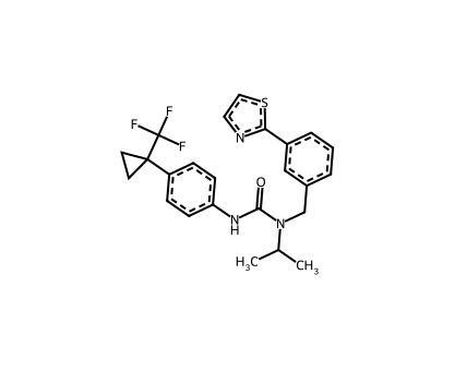 CC(C)N(Cc1cccc(-c2nccs2)c1)C(=O)Nc1ccc(C2(C(F)(F)F)CC2)cc1